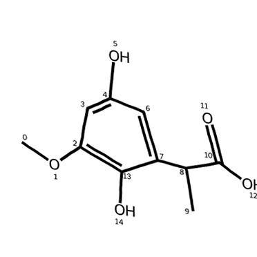 COc1cc(O)cc(C(C)C(=O)O)c1O